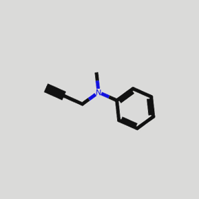 C#CCN(C)c1ccccc1